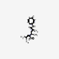 CC(C)=C/C(=C(C)\C=C(/C)C(=O)NC1=C/C#CCC(Cl)/C=C\1)[SH](=O)=O